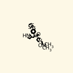 CN(C)C(=O)CN1CC[C@@H](C(=O)N(CC2CCNC2)c2ccc([As]3SCCS3)cc2)C1